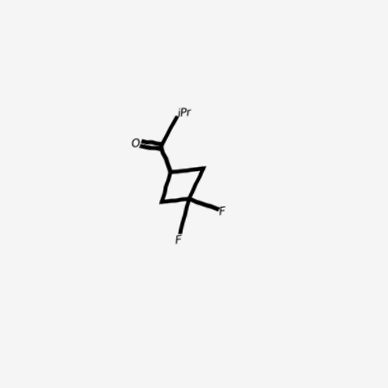 CC(C)C(=O)C1CC(F)(F)C1